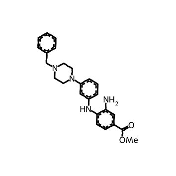 COC(=O)c1ccc(Nc2cccc(N3CCN(Cc4ccccc4)CC3)c2)c(N)c1